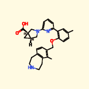 Cc1ccc(OCc2ccc3c(c2C)CCNCC3)c(-c2cccc(N3C[C@@H]4C[C@]4(C(=O)O)C3)n2)c1